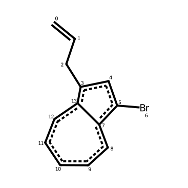 C=CCc1cc(Br)c2cccccc1-2